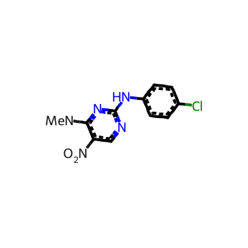 CNc1nc(Nc2ccc(Cl)cc2)ncc1[N+](=O)[O-]